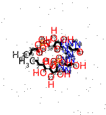 CCCC(=O)C(O)[C@H]1O[C@](n2cnc3c(O)ncnc32)(P(=O)(O)O)[C@H](O)[C@@H]1O.CCCC(=O)OP(=O)(O)OC[C@H]1O[C@@H](n2cnc3c(=O)nc[nH]c32)[C@H](O)[C@H]1O